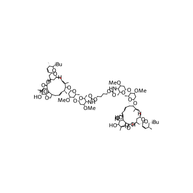 CC[C@H](C)[C@H]1O[C@]2(C=C[C@@H]1C)C[C@@H]1C[C@@H](C/C=C(\C)[C@@H](O[C@H]3C[C@H](OC)[C@@H](O[C@H]4C[C@H](OC)[C@H](NC(=O)OCCCCOC(=O)N[C@@H]5[C@H](C)O[C@@H](O[C@H]6[C@H](C)O[C@@H](O[C@@H]7/C(C)=C/C[C@@H]8C[C@@H](C[C@]9(C=C[C@H](C)[C@@H]([C@@H](C)CC)O9)O8)OC(=O)[C@@H]8C=C(C)[C@@H](O)[C@H]9OC/C(=C\C=C\[C@@H]7C)[C@]98O)C[C@@H]6OC)C[C@@H]5OC)[C@H](C)O4)[C@H](C)O3)[C@@H](C)/C=C/CC3COC4[C@H](O)C(C)=CC(C(=O)O1)C34O)O2